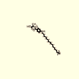 C[C@H](NC(=O)c1ccc(NCCCCCCCCCCCCCCCC(F)(F)F)cc1)C(=O)O